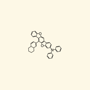 C1=CC2CCCCC2C=C1c1c2oc3cc(N(c4ccccc4)c4ccccc4)ccc3c2cc2oc3ccccc3c12